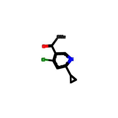 COC(=O)c1cnc(C2CC2)cc1Cl